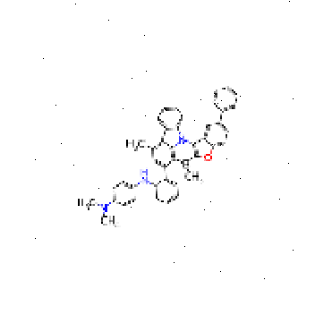 CB1c2oc3ccc(-c4ccccc4)cc3c2-n2c3ccccc3c3c(C)cc(-c4ccccc4Nc4ccc(N(C)C)cc4)c1c32